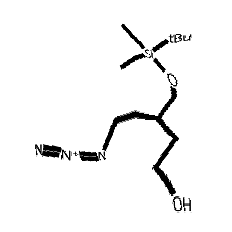 CC(C)(C)[Si](C)(C)OC(CCO)CN=[N+]=[N-]